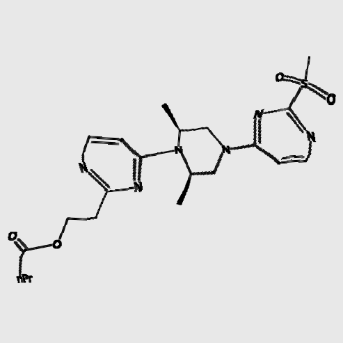 CCCC(=O)OCCc1nccc(N2[C@H](C)CN(c3ccnc(S(C)(=O)=O)n3)C[C@@H]2C)n1